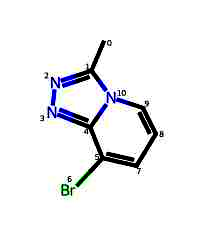 Cc1nnc2c(Br)cccn12